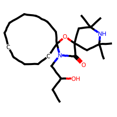 CCC(O)CN1C(=O)C2(CC(C)(C)NC(C)(C)C2)OC12CCCCCCCCCCC2